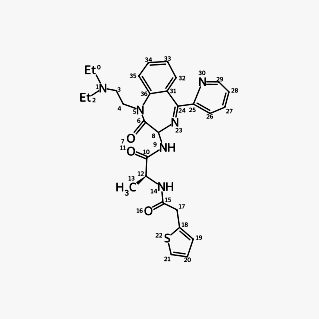 CCN(CC)CCN1C(=O)C(NC(=O)[C@H](C)NC(=O)Cc2cccs2)N=C(c2ccccn2)c2ccccc21